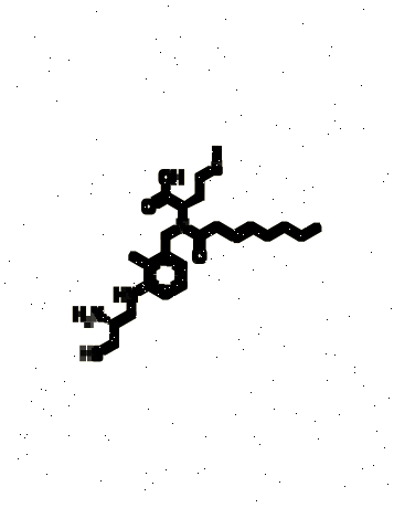 CCCC/C=C/CC(=O)N(Cc1cccc(NC[C@@H](N)CS)c1C)[C@H](CCSC)C(=O)O